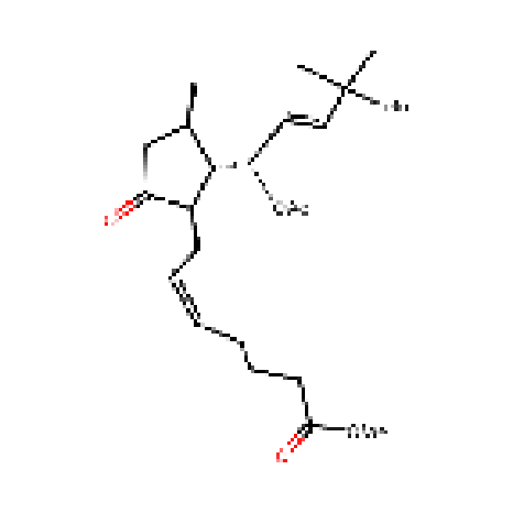 CCCCC(C)(C)/C=C/[C@H](OC(C)=O)[C@H]1[C@H](C)CC(=O)[C@@H]1C/C=C\CCCC(=O)OC